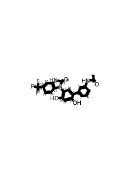 CC(=O)Nc1cccc(-c2cc(-n3c(=O)[nH]c4cc(C(F)(F)F)ccc43)c(O)cc2O)c1